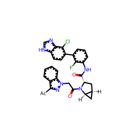 CC(=O)c1nn(CC(=O)N2[C@@H]3C[C@@H]3C[C@H]2C(=O)Nc2cccc(-c3ccc4[nH]cnc4c3Cl)c2F)c2ccccc12